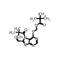 CC(C)(C)C(=O)OCSc1ncnc2nc(C=O)n(C(=O)C(C)(C)C)c12